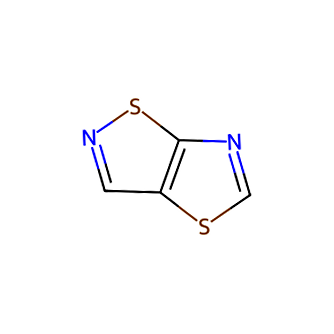 c1nc2sncc2s1